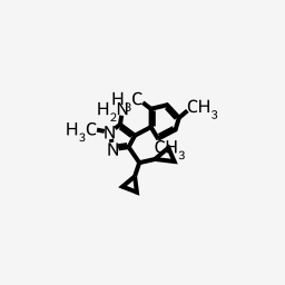 Cc1cc(C)c(-c2c(C(C3CC3)C3CC3)nn(C)c2N)c(C)c1